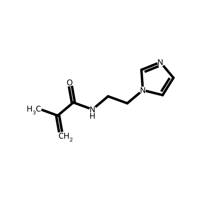 C=C(C)C(=O)NCCn1ccnc1